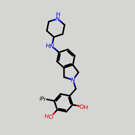 CC(C)c1cc(CN2Cc3ccc(NC4CCNCC4)cc3C2)c(O)cc1O